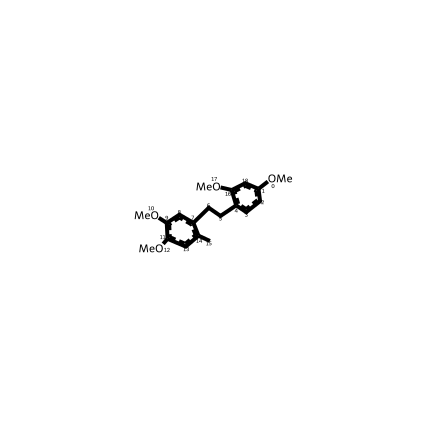 COc1ccc(CCc2cc(OC)c(OC)cc2C)c(OC)c1